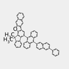 CC1(C)c2ccccc2-c2c(-c3c4ccccc4c(-c4ccc5cc(-c6ccccc6)ccc5c4)c4ccccc34)cc3c(oc4cc5ccccc5cc43)c21